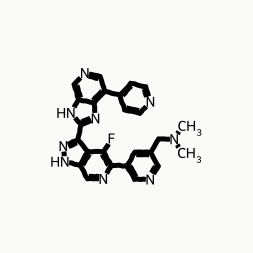 CN(C)Cc1cncc(-c2ncc3[nH]nc(-c4nc5c(-c6ccncc6)cncc5[nH]4)c3c2F)c1